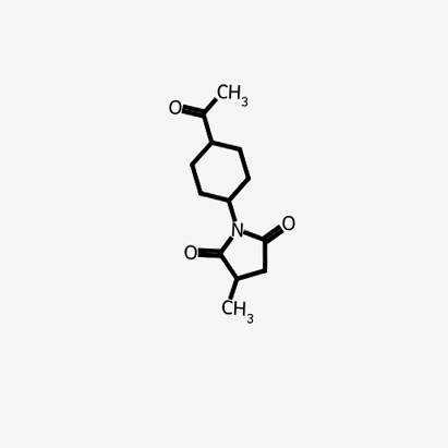 CC(=O)C1CCC(N2C(=O)CC(C)C2=O)CC1